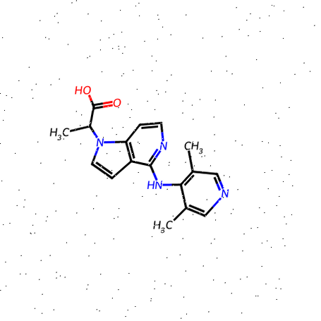 Cc1cncc(C)c1Nc1nccc2c1ccn2C(C)C(=O)O